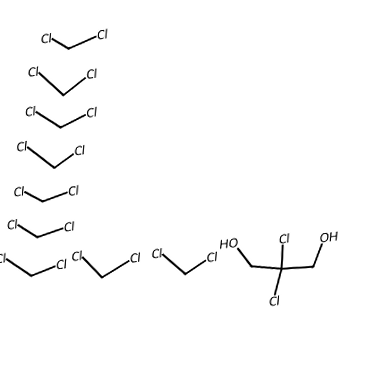 ClCCl.ClCCl.ClCCl.ClCCl.ClCCl.ClCCl.ClCCl.ClCCl.ClCCl.OCC(Cl)(Cl)CO